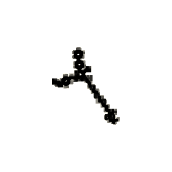 CC(C)(C)OC(=O)NCCCOCCOCCOCCCNc1nc(SCc2ccc(N=[N+]=[N-])cc2)nc(-c2ccc(-c3ccccc3)cc2)c1C#N